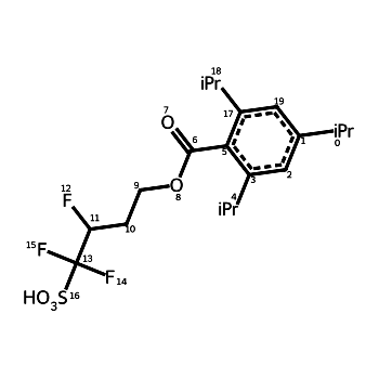 CC(C)c1cc(C(C)C)c(C(=O)OCCC(F)C(F)(F)S(=O)(=O)O)c(C(C)C)c1